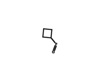 O=PC1CCC1